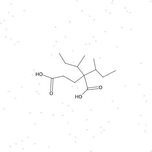 CCC(C)C(CCC(=O)O)(C(=O)O)C(C)CC